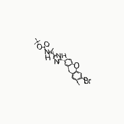 Cc1cc2c(cc1Br)Oc1ccc(-c3ncc([C@H](C)NC(=O)OC(C)(C)C)[nH]3)cc1C2